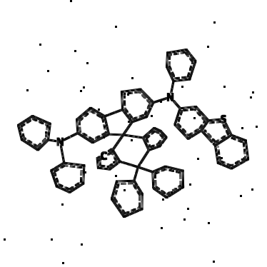 c1ccc(N(c2ccccc2)c2ccc3c(c2)C2(c4cc(N(c5ccccc5)c5ccc6c(c5)sc5ccccc56)ccc4-3)c3ccccc3C(c3ccccc3)(c3ccccc3)c3ccccc32)cc1